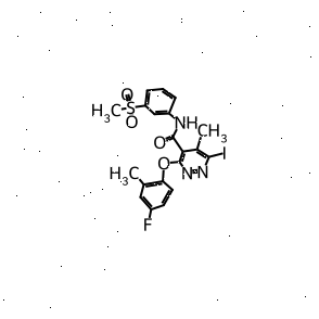 Cc1cc(F)ccc1Oc1nnc(I)c(C)c1C(=O)Nc1cccc(S(C)(=O)=O)c1